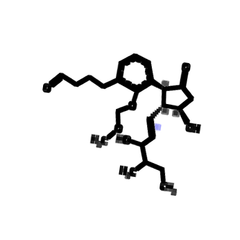 CCC(C)C(O)/C=C/[C@H]1[C@H](O)CC(=O)[C@@H]1c1cccc(CCCC=O)c1OCOC